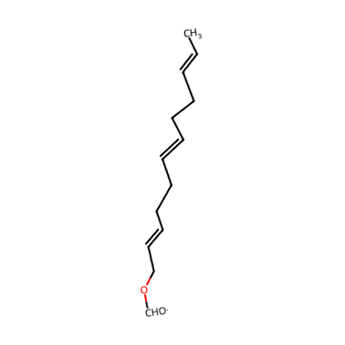 CC=CCCC=CCCC=CCO[C]=O